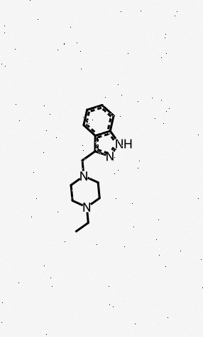 CCN1CCN(Cc2n[nH]c3ccccc23)CC1